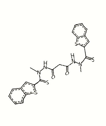 CN(NC(=O)CC(=O)NN(C)C(=S)c1cc2ccccc2s1)C(=S)c1cc2ccccc2s1